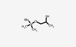 CC(S)CO[Si](C)(C)C(C)(C)C